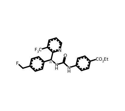 CCOC(=O)c1ccc(NC(=O)N[C@@H](c2ccc(CF)cc2)c2ncccc2C(F)(F)F)cc1